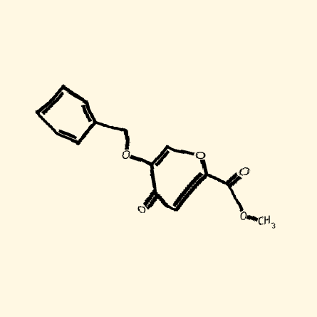 COC(=O)c1cc(=O)c(OCc2ccccc2)co1